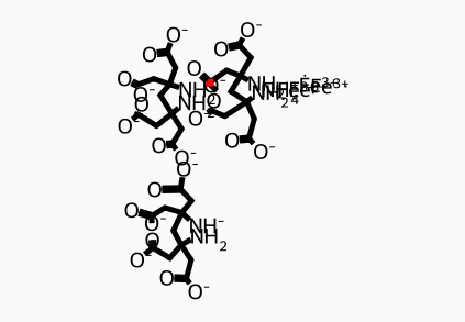 NC(CC(=O)[O-])(CC(=O)[O-])CC(N)(CC(=O)[O-])CC(=O)[O-].NC(CC(=O)[O-])(CC(=O)[O-])CC(N)(CC(=O)[O-])CC(=O)[O-].[Fe+3].[Fe+3].[Fe+3].[Fe+3].[NH-]C(CC(=O)[O-])(CC(=O)[O-])CC(N)(CC(=O)[O-])CC(=O)[O-].[NH4+]